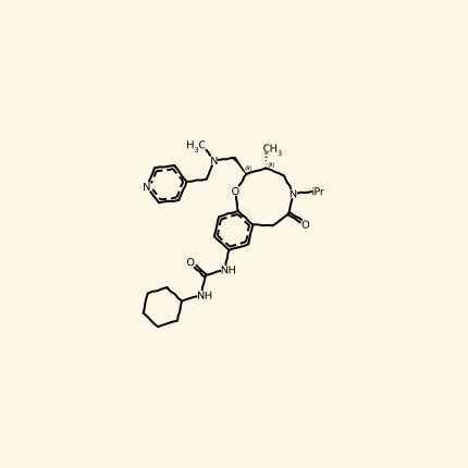 CC(C)N1C[C@@H](C)[C@H](CN(C)Cc2ccncc2)Oc2ccc(NC(=O)NC3CCCCC3)cc2CC1=O